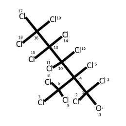 [O]C(Cl)(Cl)C(Cl)(C(Cl)(Cl)Cl)C(Cl)(Cl)C(Cl)(Cl)C(Cl)(Cl)Cl